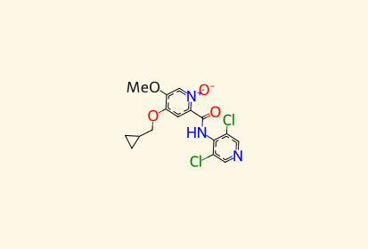 COc1c[n+]([O-])c(C(=O)Nc2c(Cl)cncc2Cl)cc1OCC1CC1